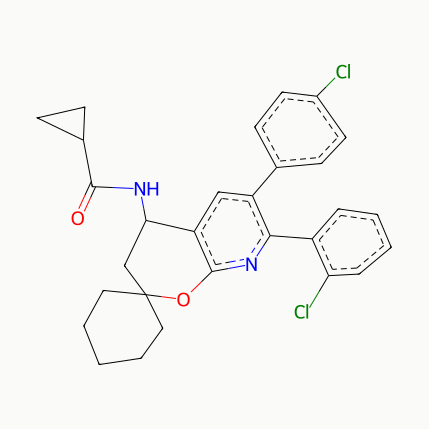 O=C(NC1CC2(CCCCC2)Oc2nc(-c3ccccc3Cl)c(-c3ccc(Cl)cc3)cc21)C1CC1